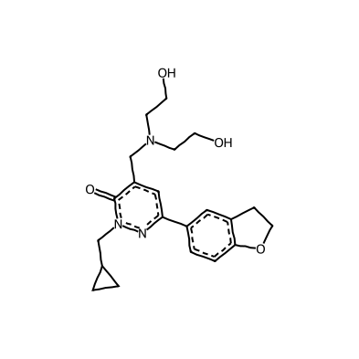 O=c1c(CN(CCO)CCO)cc(-c2ccc3c(c2)CCO3)nn1CC1CC1